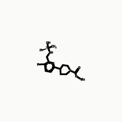 CC(C)[C@@](C)(O)NCc1nc(C2CCN(C(=O)OC(C)(C)C)CC2)ccc1F